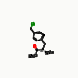 CN[C@@H](Cc1ccc(CCl)cc1)C(=O)OC